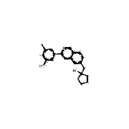 Cc1cc(-c2cc3cc(CC4(C#N)CCCC4)ccc3cn2)cc(C(C)(C)C)c1